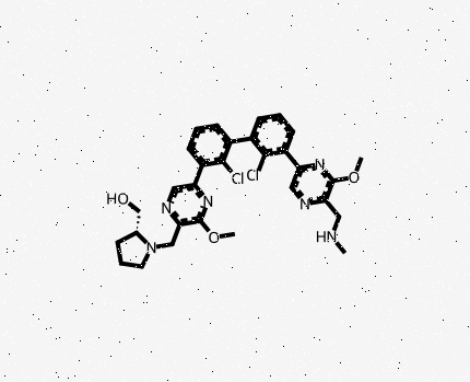 CNCc1ncc(-c2cccc(-c3cccc(-c4cnc(CN5CCC[C@@H]5CO)c(OC)n4)c3Cl)c2Cl)nc1OC